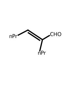 CCC/C=C(/C=O)CCC